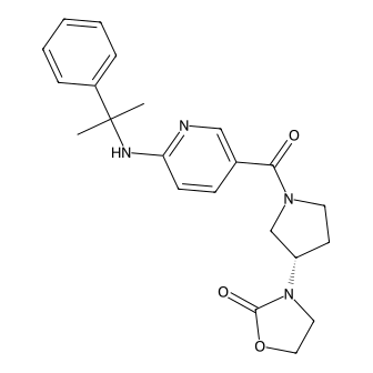 CC(C)(Nc1ccc(C(=O)N2CC[C@H](N3CCOC3=O)C2)cn1)c1ccccc1